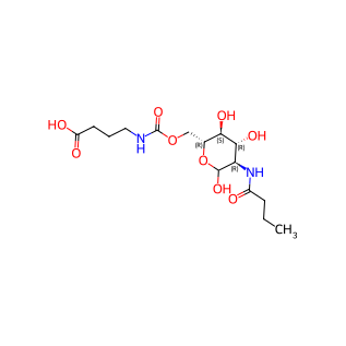 CCCC(=O)N[C@H]1C(O)O[C@H](COC(=O)NCCCC(=O)O)[C@@H](O)[C@@H]1O